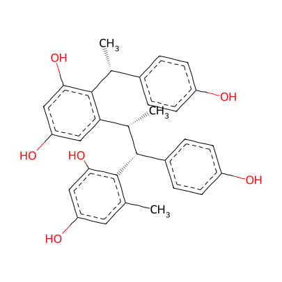 Cc1cc(O)cc(O)c1[C@@H](c1ccc(O)cc1)[C@@H](C)c1cc(O)cc(O)c1[C@H](C)c1ccc(O)cc1